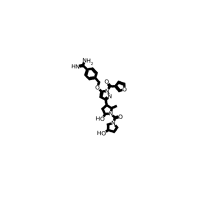 CC1C(c2cc(OCc3ccc(C(=N)N)cc3)n(C(=O)c3ccoc3)n2)CC(O)N1C(=O)N1CCC(O)C1